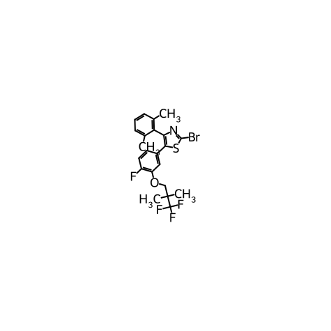 Cc1cccc(C)c1-c1nc(Br)sc1-c1ccc(F)c(OCC(C)(C)C(F)(F)F)c1